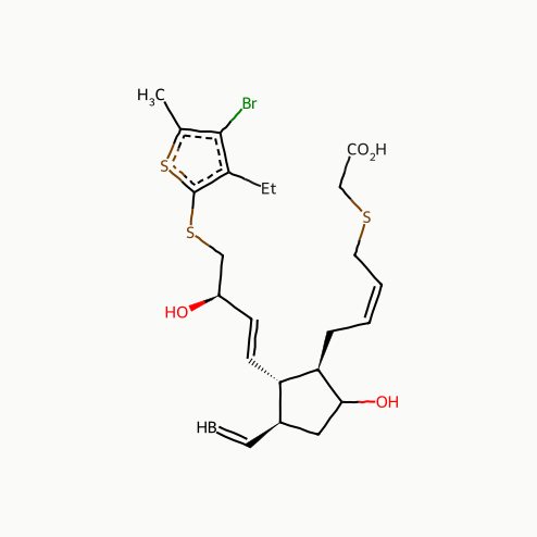 B=C[C@@H]1CC(O)[C@H](C/C=C\CSCC(=O)O)[C@H]1/C=C/[C@@H](O)CSc1sc(C)c(Br)c1CC